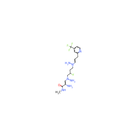 CNC(=O)/C(N)=C/N(N)CC(F)CCN(N)/C=C/Cc1cc(C(F)(F)F)ccn1